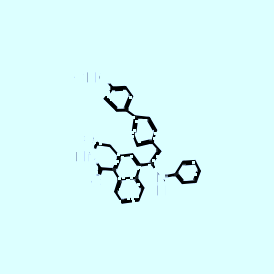 O=Cc1ccc(-c2ccc(C=C(Nc3ccccc3)c3cc4c(c5ccccc35)C(=O)NC(=O)C4)cc2)cc1